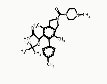 Cc1ccc(-c2c(C)c3c(c(C)c2C(OC(C)(C)C)C(=O)O)CN(C(=O)N2CCN(C)CC2)C3)cc1